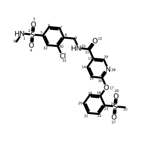 CNS(=O)(=O)c1ccc(CNC(=O)c2ccc(Oc3ccccc3S(C)(=O)=O)nc2)c(Cl)c1